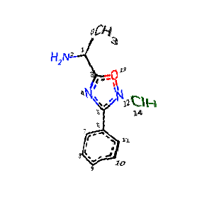 C[C@H](N)c1nc(-c2ccccc2)no1.Cl